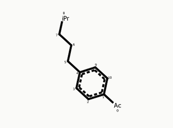 CC(=O)c1ccc(CCCC(C)C)cc1